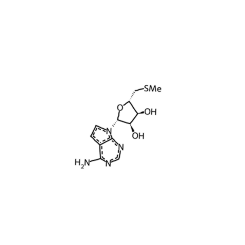 CSC[C@H]1O[C@@H](n2ccc3c(N)ncnc32)[C@H](O)[C@@H]1O